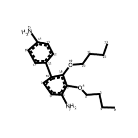 CCCCOc1c(N)ccc(-c2ccc(N)cc2)c1OCCCC